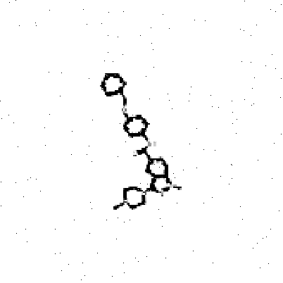 CN1CCN(c2nn(C)c3ccc(C(=O)Nc4ccc(OCc5ccccc5)cc4)cc23)CC1